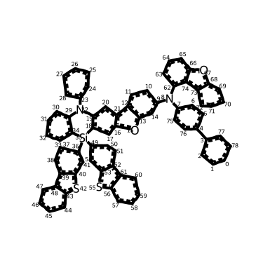 c1ccc(-c2ccc(N(c3ccc4c(c3)oc3cc5c(cc34)N(c3ccccc3)c3ccccc3[Si]5(c3ccc4c(c3)sc3ccccc34)c3ccc4c(c3)sc3ccccc34)c3cccc4oc5ccccc5c34)cc2)cc1